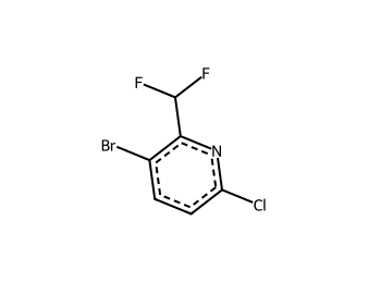 FC(F)c1nc(Cl)ccc1Br